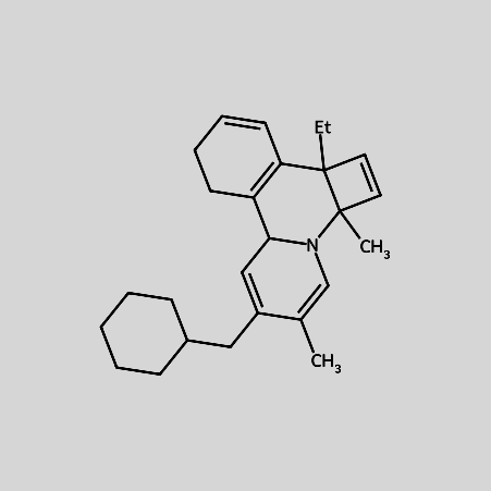 CCC12C=CC1(C)N1C=C(C)C(CC3CCCCC3)=CC1C1=C2C=CCC1